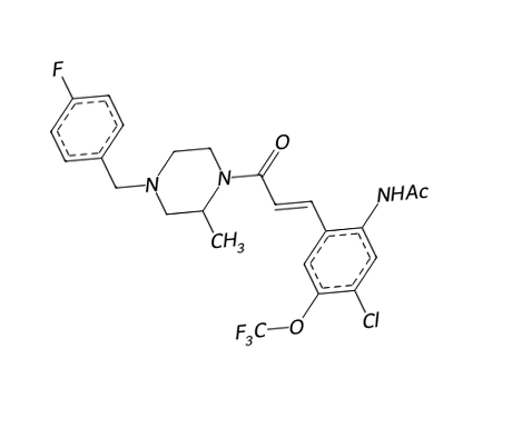 CC(=O)Nc1cc(Cl)c(OC(F)(F)F)cc1C=CC(=O)N1CCN(Cc2ccc(F)cc2)CC1C